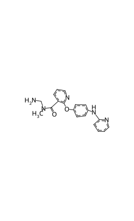 CN(CN)C(=O)c1cccnc1Oc1ccc(Nc2ccccn2)cc1